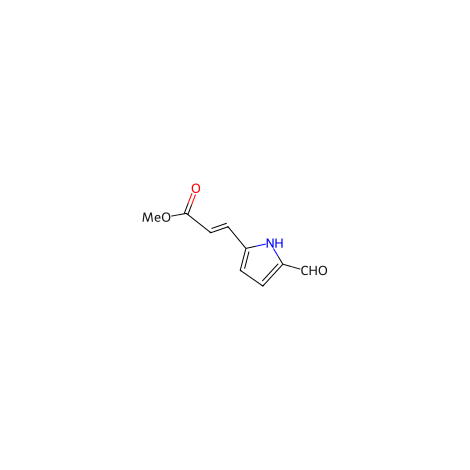 COC(=O)/C=C/c1ccc(C=O)[nH]1